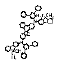 CC1(C)C2=C(CCC=C2)c2ccc(N(c3cc(-c4ccccc4)cc(-c4ccccc4)c3)c3ccc4c(c3)c3ccccc3c3c5ccc(N(c6cc(-c7ccccc7)cc(-c7ccccc7)c6)c6ccc7c(c6)C(C)(C)c6ccccc6-7)cc5oc43)cc21